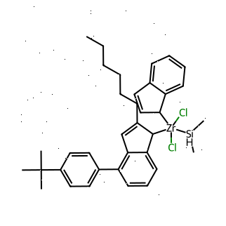 CCCCCCC1=Cc2c(-c3ccc(C(C)(C)C)cc3)cccc2[CH]1[Zr]([Cl])([Cl])([CH]1C=Cc2ccccc21)[SiH](C)C